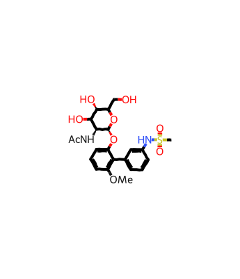 COc1cccc(O[C@@H]2OC(CO)[C@H](O)C(O)[C@@H]2NC(C)=O)c1-c1cccc(NS(C)(=O)=O)c1